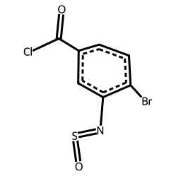 O=S=Nc1cc(C(=O)Cl)ccc1Br